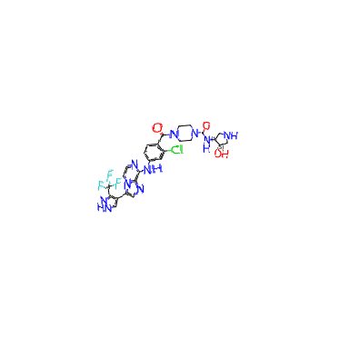 O=C(N[C@H]1CNC[C@@H]1O)N1CCN(C(=O)c2ccc(Nc3nccn4c(-c5c[nH]nc5C(F)(F)F)cnc34)cc2Cl)CC1